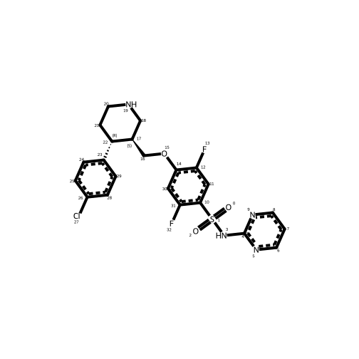 O=S(=O)(Nc1ncccn1)c1cc(F)c(OC[C@@H]2CNCC[C@H]2c2ccc(Cl)cc2)cc1F